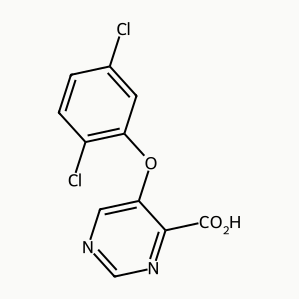 O=C(O)c1ncncc1Oc1cc(Cl)ccc1Cl